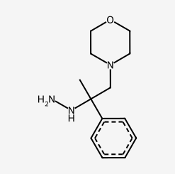 CC(CN1CCOCC1)(NN)c1ccccc1